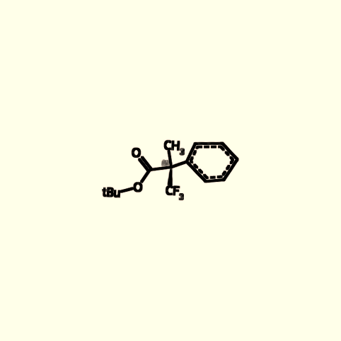 CC(C)(C)OC(=O)[C@](C)(c1ccccc1)C(F)(F)F